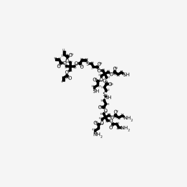 C=CC(=O)OCC(COC(=O)C=C)(COC(=O)C=C)COC(=O)/C=C\SCCC(=O)OCC(COC(=O)CCS)(COC(=O)CCS)COC(=O)CCSNCCC(=O)OCC(COC(=O)CCN)(COC(=O)CCN)COC(=O)CCN